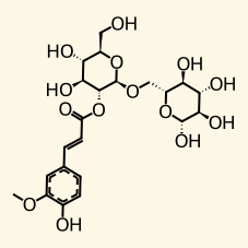 COc1cc(C=CC(=O)O[C@H]2[C@H](OC[C@H]3O[C@@H](O)[C@H](O)[C@@H](O)[C@@H]3O)O[C@H](CO)[C@@H](O)[C@@H]2O)ccc1O